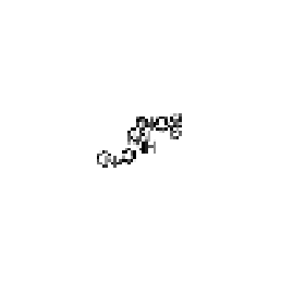 CS(=O)(=O)c1ccc(-n2ccc3cnc(Nc4ccc(CN5CCCCC5)cc4)nc32)cc1